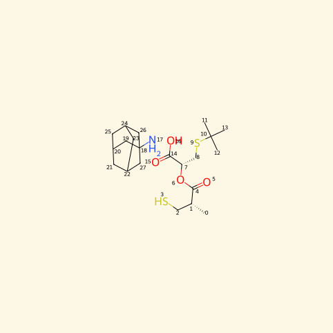 C[C@H](CS)C(=O)O[C@@H](CSC(C)(C)C)C(=O)O.NC12CC3CC(CC(C3)C1)C2